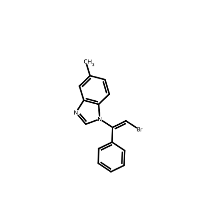 Cc1ccc2c(c1)ncn2C(=CBr)c1ccccc1